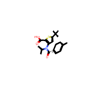 CC1=CC[C@H](C(=O)N(c2cc(C(C)(C)C)sc2C(=O)O)C(C)C)CC1